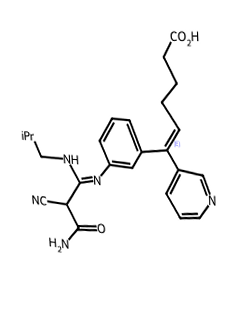 CC(C)CNC(=Nc1cccc(/C(=C\CCCC(=O)O)c2cccnc2)c1)C(C#N)C(N)=O